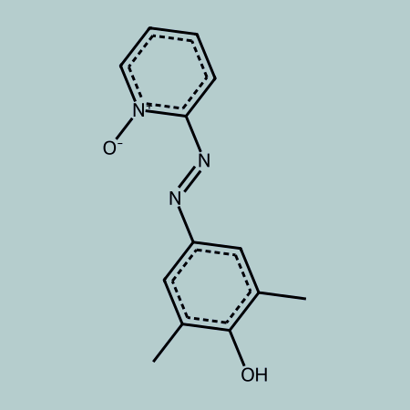 Cc1cc(N=Nc2cccc[n+]2[O-])cc(C)c1O